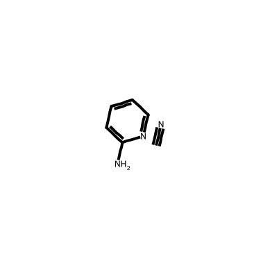 C#N.Nc1ccccn1